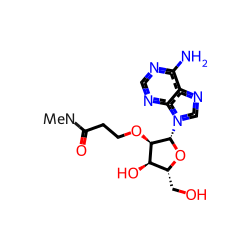 CNC(=O)CCO[C@@H]1[C@H](O)[C@@H](CO)O[C@H]1n1cnc2c(N)ncnc21